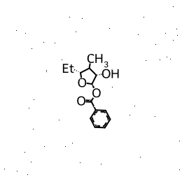 CC[C@H]1O[C@H](OC(=O)c2ccccc2)[C@@H](O)C1C